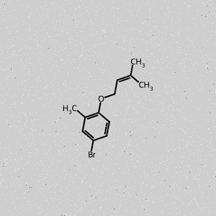 CC(C)=CCOc1ccc(Br)cc1C